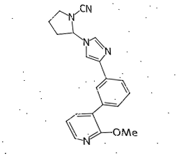 COc1ncccc1-c1cccc(-c2cn(C3CCCN3C#N)cn2)c1